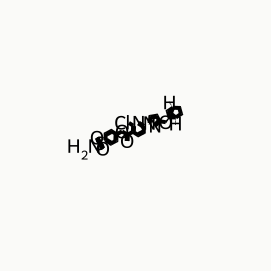 NS(=O)(=O)c1ccc(OC(=O)c2ccc(-n3ccc(O[C@H]4C[C@H]5CC[C@@H]4C5)n3)nc2Cl)cc1